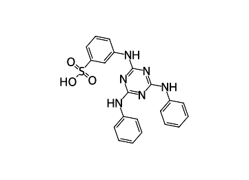 O=S(=O)(O)c1cccc(Nc2nc(Nc3ccccc3)nc(Nc3ccccc3)n2)c1